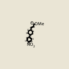 COC(=O)C=CC1CCC(c2ccc([N+](=O)[O-])cc2)CC1